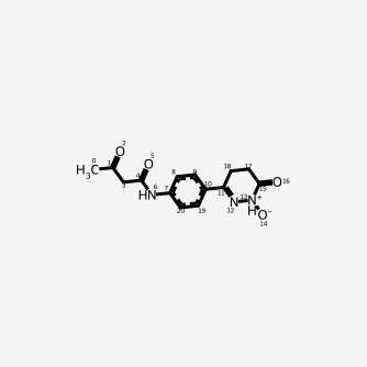 CC(=O)CC(=O)Nc1ccc(C2=N[NH+]([O-])C(=O)CC2)cc1